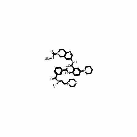 CN(CCN1CCOCC1)C(=O)c1cccc(C(=O)Nc2ccc(N3CCCCC3)cc2C(=O)Nc2cnc3c(c2)CN(C(=O)OC(C)(C)C)CC3)c1